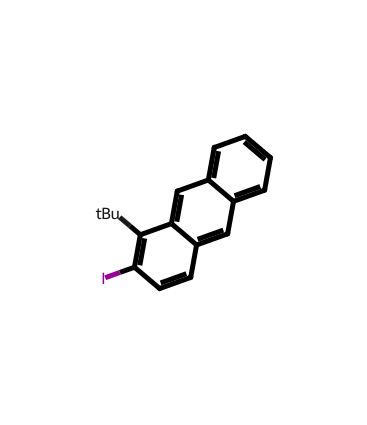 CC(C)(C)c1c(I)ccc2cc3ccccc3cc12